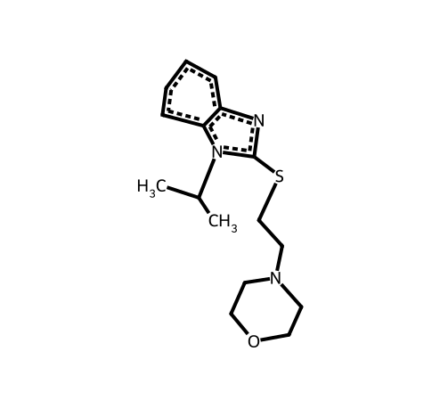 CC(C)n1c(SCCN2CCOCC2)nc2ccccc21